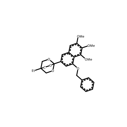 CCC12COC(c3cc(OCc4ccccc4)c4c(OC)c(OC)c(OC)cc4c3)(OC1)OC2